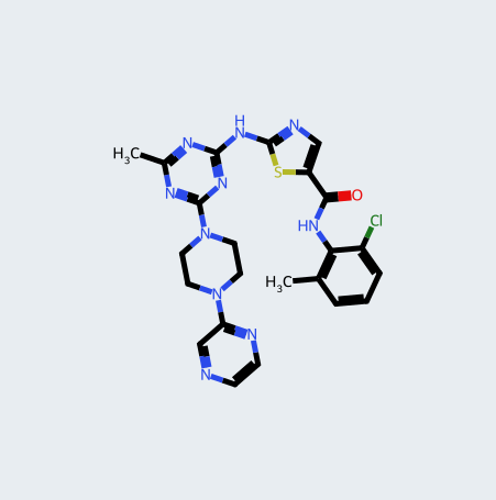 Cc1nc(Nc2ncc(C(=O)Nc3c(C)cccc3Cl)s2)nc(N2CCN(c3cnccn3)CC2)n1